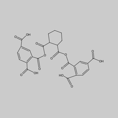 O=C(O)c1ccc(C(=O)O)c(C(=O)OC(=O)C2CCCCC2C(=O)OC(=O)c2cc(C(=O)O)ccc2C(=O)O)c1